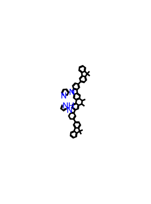 CC1c2cc3c4c(n(-c5ccc[nH]5)c3cc2-c2cc3c(cc2C1C)c1cc(-c2ccc5c(c2)-c2ccccc2C5(C)C)ccc1n3-c1cccnc1)CCC(c1ccc2c(c1)-c1ccccc1C2(C)C)=C4